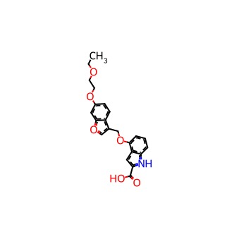 CCOCCOc1ccc2c(COc3cccc4[nH]c(C(=O)O)cc34)coc2c1